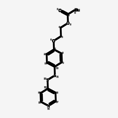 CCC(C)C(=O)OCCOc1ccc(SSc2ccncc2)cc1